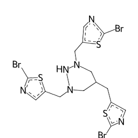 Brc1ncc(CC2CN(Cc3cnc(Br)s3)NN(Cc3cnc(Br)s3)C2)s1